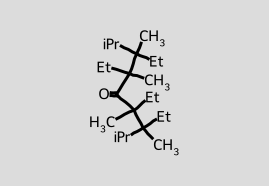 CCC(C)(C(=O)C(C)(CC)C(C)(CC)C(C)C)C(C)(CC)C(C)C